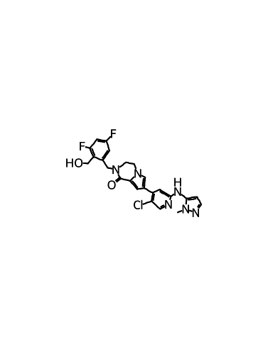 Cn1nccc1Nc1cc(-c2cc3n(c2)CCN(Cc2cc(F)cc(F)c2CO)C3=O)c(Cl)cn1